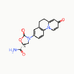 NC(=O)[C@H]1CN(c2ccc3c(c2)CCc2cc(=O)ccn2-3)C(=O)O1